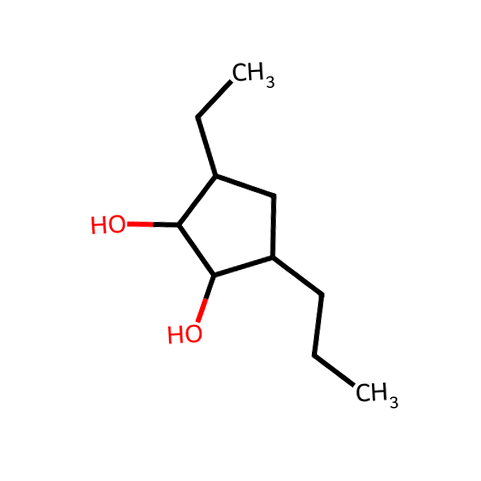 CCCC1CC(CC)C(O)C1O